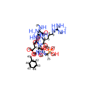 CNCC(=O)N[C@@H](CCCNC(=N)N)C(=O)N([N+](=O)[O-])[C@](C(=O)N[C@@H](C)P(=O)(O)O)(C(CCNC(=N)N)C(=O)OCc1ccccc1)[N+](=O)[O-]